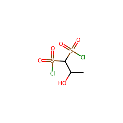 CC(O)C(S(=O)(=O)Cl)S(=O)(=O)Cl